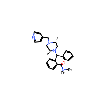 CCN(CC)C(=O)c1ccccc1[C@H](c1ccccc1)N1C[C@@H](C)N(Cc2ccncc2)C[C@@H]1C